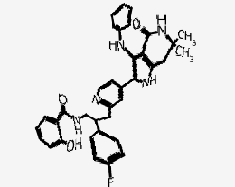 CC1(C)Cc2[nH]c(-c3ccnc(CC(CNC(=O)c4ccccc4O)c4ccc(F)cc4)c3)c(Nc3ccccc3)c2C(=O)N1